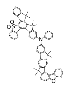 CC1(C)c2cc(N(c3ccccc3)c3ccc4c(c3)C(C)(C)c3c-4c4c(c5c3C(C)(C)c3ccccc3-5)S(=O)(=O)c3ccccc3-4)ccc2-c2cc3c(cc21)-c1c(ccc2oc4ccccc4c12)C3(C)C